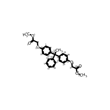 COC(=O)COc1ccc(C(C)(c2ccccc2)c2ccc(OCC(=O)OC)cc2)cc1